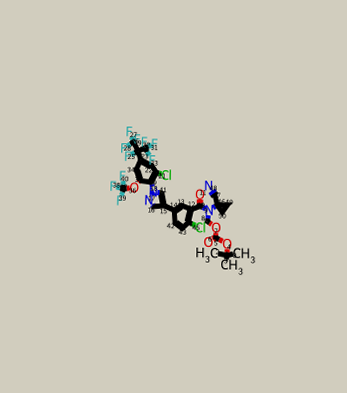 CC(C)(C)OC(=O)OCN(C(=O)c1cc(-c2cnn(-c3c(Cl)cc(C(F)(C(F)(F)F)C(F)(F)F)cc3OC(F)(F)F)c2)ccc1Cl)C1(C#N)CC1